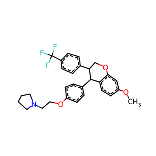 COc1ccc2c(c1)OCC(c1ccc(C(F)(F)F)cc1)C2c1ccc(OCCN2CCCC2)cc1